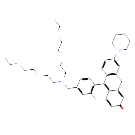 CCSCCSCCN(CCSCCSCC)Cc1ccc(C2=C3C=CC(=O)C=C3Cc3cc(N4CCCCC4)ccc32)c(C)c1